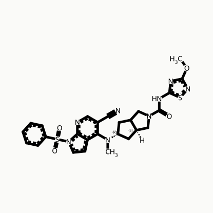 COc1nsc(NC(=O)N2CC3C[C@@H](N(C)c4c(C#N)cnc5c4ccn5S(=O)(=O)c4ccccc4)C[C@@H]3C2)n1